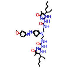 CCCCC(CC)c1[nH]c(NC(=O)NCCN(CCNC(=O)Nc2nc(=O)c(C)c(C(CC)CCCC)[nH]2)c2ccc(/N=N/c3ccc(OC)cc3)cc2)nc(=O)c1C